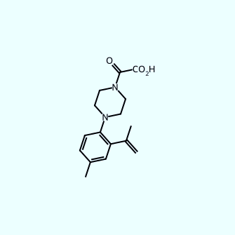 C=C(C)c1cc(C)ccc1N1CCN(C(=O)C(=O)O)CC1